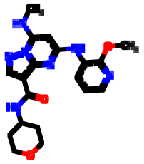 CNc1cc(Nc2cccnc2OC)nc2c(C(=O)NC3CCOCC3)cnn12